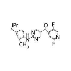 Cc1cc(CC(C)C)ccc1Nc1ncc(C(=O)c2cc(F)ncc2F)cn1